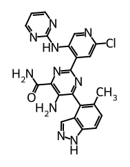 Cc1ccc2[nH]ncc2c1-c1nc(-c2cc(Cl)ncc2Nc2ncccn2)nc(C(N)=O)c1N